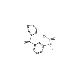 C[C@@H](C(=O)Cl)c1cccc(C(=O)c2ccccc2)c1